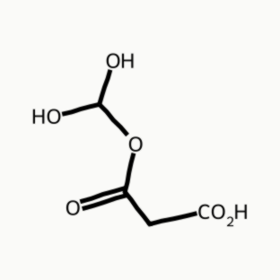 O=C(O)CC(=O)OC(O)O